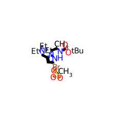 CC[N+](CC)(CC)Cc1cc(Br)nn1C[C@H](C)NC(=O)OC(C)(C)C.CS(=O)(=O)[O-]